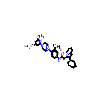 Cc1cc(C)nc(N2CCN(c3ccc(NC(=O)C(=O)c4c(C5CCCCC5)cc5ccccn45)cc3C)CC2)c1